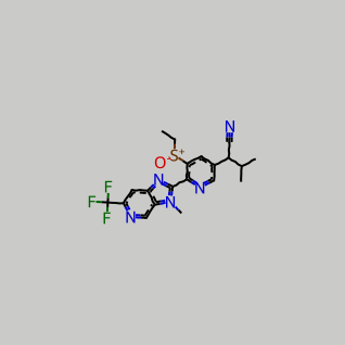 CC[S+]([O-])c1cc(C(C#N)C(C)C)cnc1-c1nc2cc(C(F)(F)F)ncc2n1C